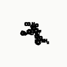 NC(=O)c1cccnc1N1CCN(c2c(F)cc3c(=O)c(C(=O)O)cn(-c4ccc(CN5CCCC5)cc4)c3c2Cl)CC1